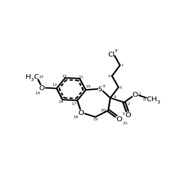 COC(=O)C1(CCCCl)Sc2ccc(OC)cc2OCC1=O